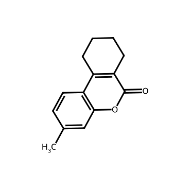 Cc1ccc2c3c(c(=O)oc2c1)CCCC3